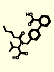 CCCCC(=O)N(Cc1ccc(-c2ccccc2C(=O)O)cc1)C(C(=O)O)C(C)C